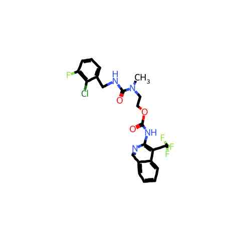 CN(CCOC(=O)Nc1ncc2ccccc2c1C(F)(F)F)C(=O)NCc1cccc(F)c1Cl